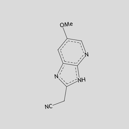 COc1cnc2[nH]c(CC#N)nc2c1